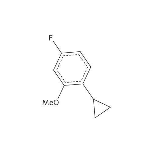 COc1cc(F)ccc1C1CC1